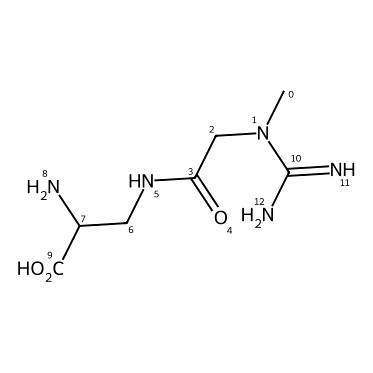 CN(CC(=O)NCC(N)C(=O)O)C(=N)N